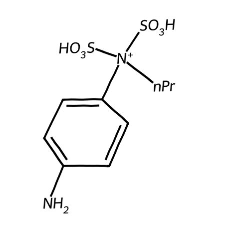 CCC[N+](c1ccc(N)cc1)(S(=O)(=O)O)S(=O)(=O)O